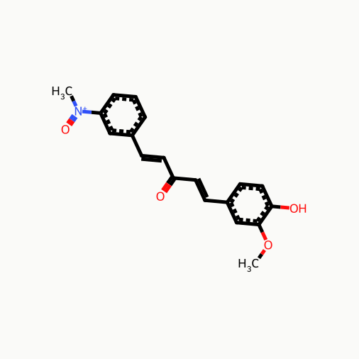 COc1cc(/C=C/C(=O)/C=C/c2cccc([N+](C)=O)c2)ccc1O